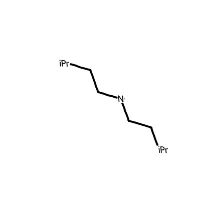 CC(C)CC[N]CCC(C)C